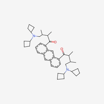 CC(CN(C1CCC1)C1CCC1)C(C)C(=O)c1cccc2cc3cccc(C(=O)C(C)C(C)CN(C4CCC4)C4CCC4)c3cc12